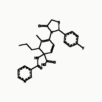 CCCC1C(C)=C(N2C(=O)CSC2c2ccc(F)cc2)C=CC1(NC(=O)c1cccnc1)C(=O)O